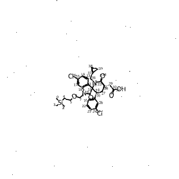 C[Si](C)(C)CCOCN1C(=O)C2(c3ccc(Cl)cc31)[C@H](c1cccc(Cl)c1)C[C@@H](CC(=O)O)C(=O)N2CC1CC1